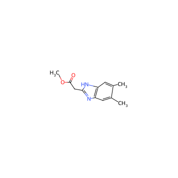 COC(=O)Cc1nc2cc(C)c(C)cc2[nH]1